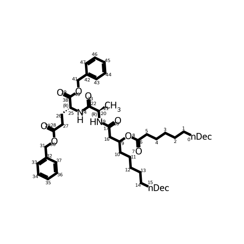 CCCCCCCCCCCCCCCC(=O)OC(CCCCCCCCCCCCCCC)CC(=O)N[C@H](C)C(=O)N[C@H](CCC(=O)OCc1ccccc1)C(=O)OCc1ccccc1